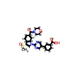 C[S+]([O-])c1cn(-c2ncc(-c3cccc(C(=O)O)c3)cn2)c2cc(C(=O)N3CCOCC3)ccc12